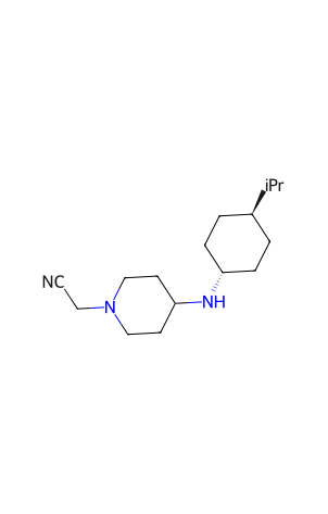 CC(C)[C@H]1CC[C@H](NC2CCN(CC#N)CC2)CC1